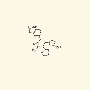 CN(C(=O)Cc1ccc2c(c1)CC(=O)N2)C(CN1CC[C@H](O)C1)c1ccccc1